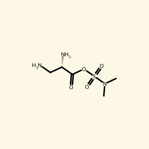 CN(C)S(=O)(=O)OC(=O)[C@@H](N)CN